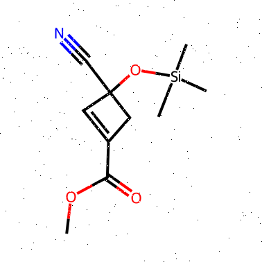 COC(=O)C1=CC(C#N)(O[Si](C)(C)C)C1